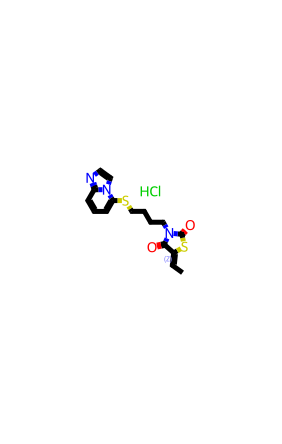 C/C=C1\SC(=O)N(CCCCSc2cccc3nccn23)C1=O.Cl